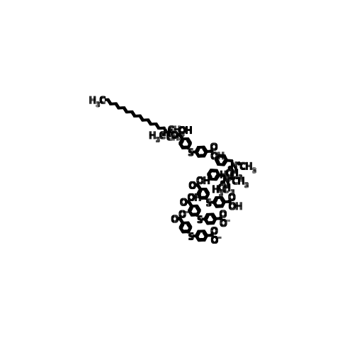 CCCCCCCCCCCCCCCC[N+](C)(C)C.CC[N+](CC)(CC)Cc1ccccc1.CC[N+](CC)(CC)Cc1ccccc1.O=C(O)c1ccc(Sc2ccc(C(=O)O)cc2)cc1.O=C(O)c1ccc(Sc2ccc(C(=O)O)cc2)cc1.O=C([O-])c1ccc(Sc2ccc(C(=O)O)cc2)cc1.O=C([O-])c1ccc(Sc2ccc(C(=O)[O-])cc2)cc1